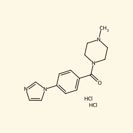 CN1CCN(C(=O)c2ccc(-n3ccnc3)cc2)CC1.Cl.Cl